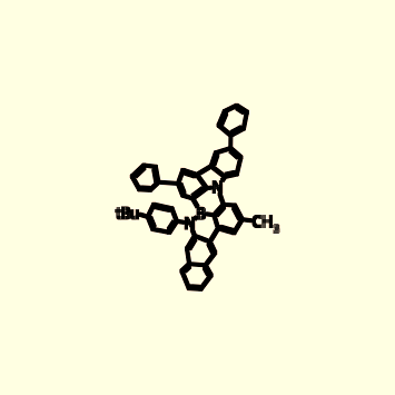 Cc1cc2c3c(c1)-n1c4ccc(-c5ccccc5)cc4c4cc(-c5ccccc5)cc(c41)B3N(c1ccc(C(C)(C)C)cc1)c1cc3ccccc3cc1-2